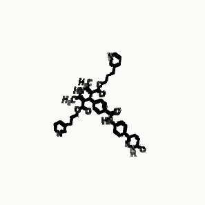 CC1=C(C(=O)OCCCc2cccnc2)C(c2ccc(C(=O)Nc3ccc(C4=NNC(=O)CC4)cc3)cc2)C(C(=O)OCCCc2cccnc2)=C(C)N1